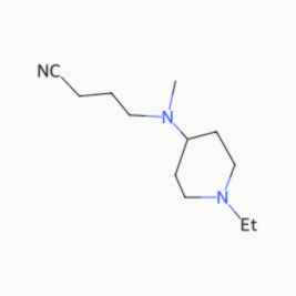 CCN1CCC(N(C)CCCC#N)CC1